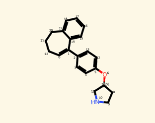 C1=C(c2ccc(O[C@H]3CCNC3)cc2)c2ccccc2CCC1